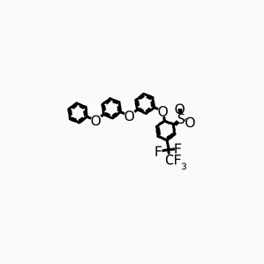 O=S(=O)=C1C=C(C(F)(F)C(F)(F)F)C=CC1Oc1cccc(Oc2cccc(Oc3ccccc3)c2)c1